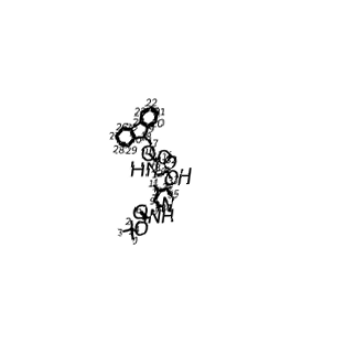 CC(C)(C)OC(=O)Nc1cc(C[C@H](NC(=O)OCC2c3ccccc3-c3ccccc32)C(=O)O)ccn1